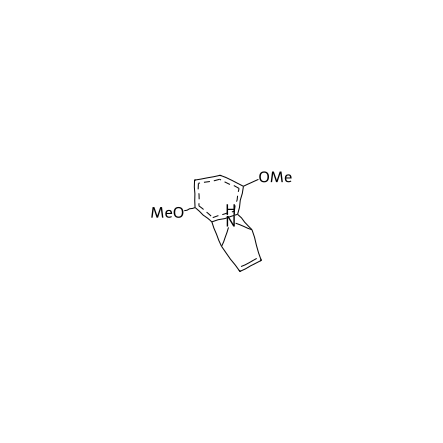 COc1ccc(OC)c2c1C1C=CC2N1